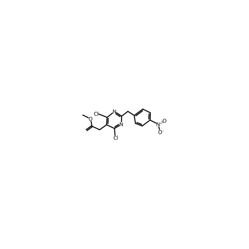 C=C(Cc1c(Cl)nc(Cc2ccc([N+](=O)[O-])cc2)nc1Cl)OC